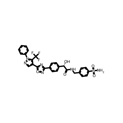 NS(=O)(=O)c1ccc(CNC(=O)[C@@H](O)c2ccc(-c3noc(-c4cnn(-c5ccccc5)c4C(F)(F)F)n3)cc2)cc1